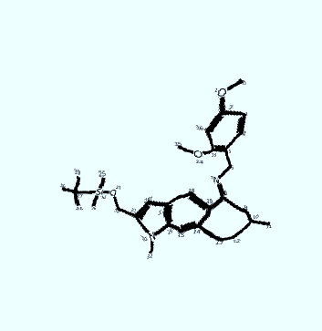 COc1ccc(C/N=C2\CC(C)CCc3cc4c(cc32)cc(CO[Si](C)(C)C(C)(C)C)n4C)c(OC)c1